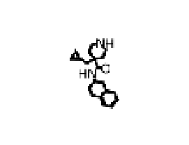 O=C(NC1CCc2ccccc2C1)C1(CC2CC2)CCNCC1